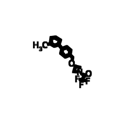 Cc1cccc(-c2ccc(COC3CN(C(=O)C(F)(F)F)C3)cc2)c1